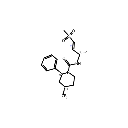 C[C@@H](/C=C/S(C)(=O)=O)NC(=O)N1CC[C@@H](C(F)(F)F)C[C@H]1c1ccccc1